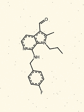 CCCn1c(C)c(C=O)c2ccnc(NCc3ccc(F)cc3)c21